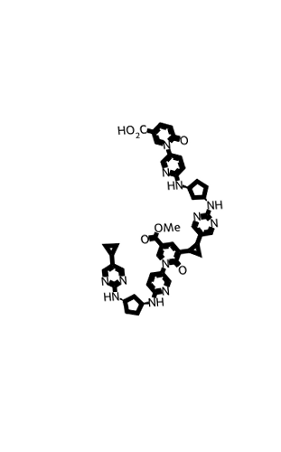 COC(=O)c1cc(C2CC2c2cnc(N[C@H]3CC[C@H](Nc4ccc(-n5cc(C(=O)O)ccc5=O)cn4)C3)nc2)c(=O)n(-c2ccc(N[C@H]3CC[C@H](Nc4ncc(C5CC5)cn4)C3)nc2)c1